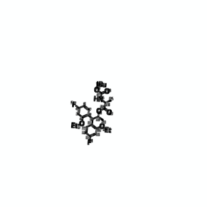 CCOc1cc(F)ccc1C(c1ccc(F)cc1OCC)[C@H](C)OC(=O)[C@H](C)NC(=O)OC(C)(C)C